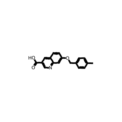 Cc1ccc(COc2ccc3cc(C(=O)O)cnc3c2)cc1